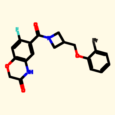 CC(C)c1ccccc1OCC1CN(C(=O)c2cc3c(cc2F)OCC(=O)N3)C1